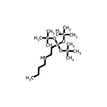 CCCCNCC[Si](O[Si](C)(C)C)(O[Si](C)(C)C)O[Si](C)(C)C